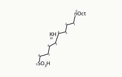 CCCCCCCCCCCCCCCCS(=O)(=O)O.[KH]